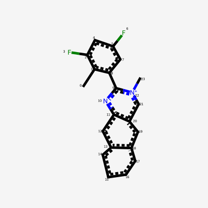 Cc1c(F)cc(F)cc1-c1nc2cc3ccccc3cc2c[n+]1C